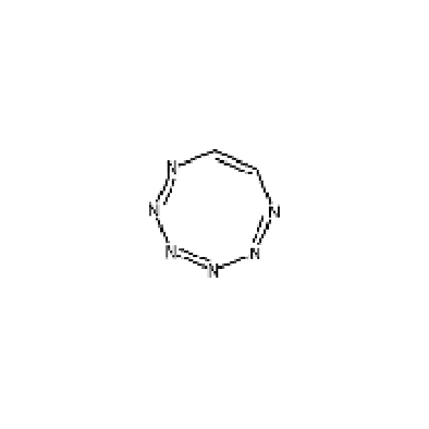 C1=CN=NN=NN=N1